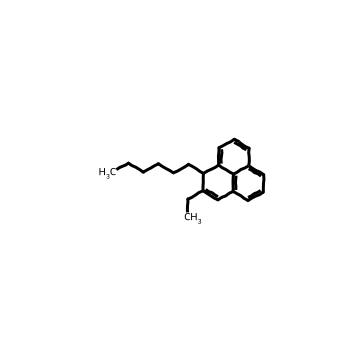 CCCCCCC1C(CC)=Cc2cccc3cccc1c23